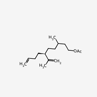 C=CCC[C@@H](CCC(C)CCOC(C)=O)C(=C)C